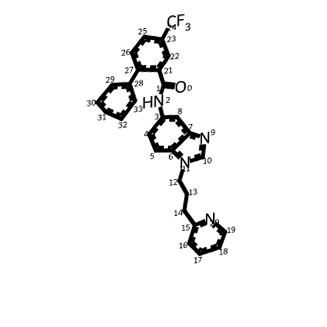 O=C(Nc1ccc2c(c1)ncn2CCCc1ccccn1)c1cc(C(F)(F)F)ccc1-c1ccccc1